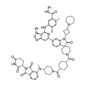 Cc1cc(F)c(Nc2nc(-c3ccc4c(c3)N(C3CC(N5CCCCC5)C3)C(=O)C43CCN(C(=O)C4CCC(C(=O)N5CCC(N(C)c6cccc7c6C(=O)N(C6CCC(=O)NC6=O)C7=O)CC5)CC4)CC3)cc3ncn(C(C)C)c23)cc1C(=O)NC(C)C